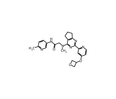 Cc1ccc(NC(=O)CN(C)c2nc(-c3cc(OC4COC4)ccn3)nc3c2CCC3)cn1